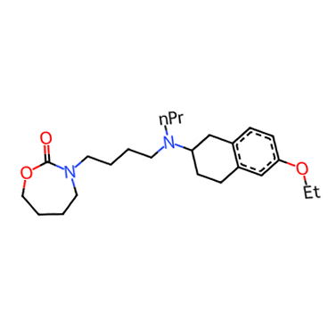 CCCN(CCCCN1CCCCOC1=O)C1CCc2cc(OCC)ccc2C1